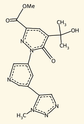 COC(=O)c1cc(C(C)(C)O)c(=O)n(-c2cncc(-c3cnnn3C)c2)n1